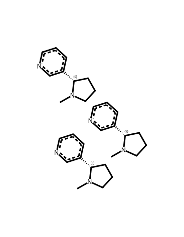 CN1CCC[C@H]1c1cccnc1.CN1CCC[C@H]1c1cccnc1.CN1CCC[C@H]1c1cccnc1